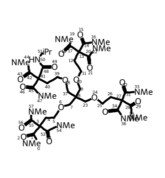 CNC(=O)C(CCOCC(COCCC(C(=O)NC)(C(=O)NC)C(=O)NC)(COCCC(C(=O)NC)(C(=O)NC)C(=O)NC)COCCC(C(=O)NC)(C(=O)NC)C(=O)NC(C)C)(C(=O)NC)C(=O)NC